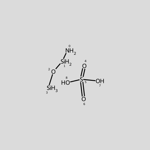 N[SiH2]O[SiH3].O=S(=O)(O)O